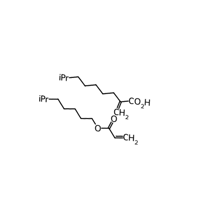 C=C(CCCCCC(C)C)C(=O)O.C=CC(=O)OCCCCCC(C)C